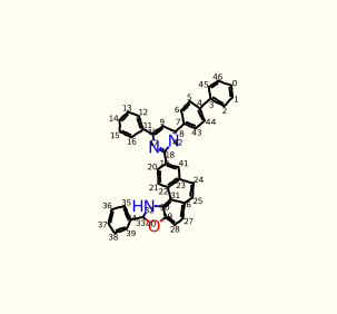 c1ccc(-c2ccc(-c3cc(-c4ccccc4)nc(-c4ccc5c(ccc6ccc7c(c65)NC(c5ccccc5)O7)c4)n3)cc2)cc1